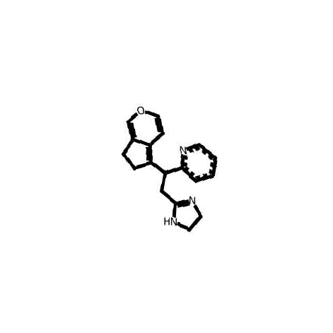 C1=CC2=C(C(CC3=NCCN3)c3ccccn3)CCC2=CO1